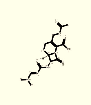 CC(=O)OCC1=C(C(=O)O)N2C(=O)[C@@H](NC(=S)N=CN(C)C)[C@H]2SC1